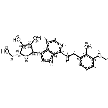 COc1cccc(CNc2ncnc3c2ncn3C2O[C@H](CO)[C@@H](O)[C@H]2O)c1O